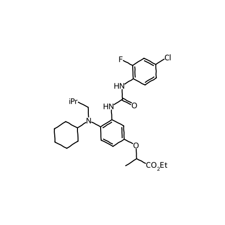 CCOC(=O)C(C)Oc1ccc(N(CC(C)C)C2CCCCC2)c(NC(=O)Nc2ccc(Cl)cc2F)c1